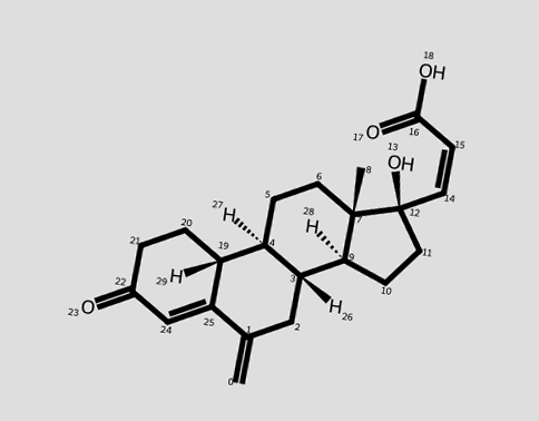 C=C1C[C@@H]2[C@H](CC[C@@]3(C)[C@H]2CC[C@@]3(O)/C=C\C(=O)O)[C@H]2CCC(=O)C=C12